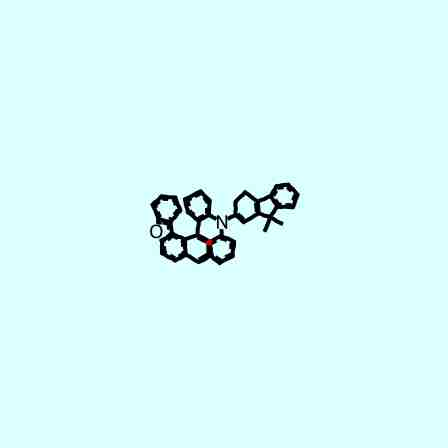 CC1(C)C2=C(CCC(N(c3ccccc3)c3ccccc3C3=C=C=Cc4ccc5oc6ccccc6c5c43)=C2)c2ccccc21